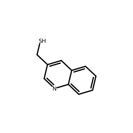 SCc1cnc2ccccc2c1